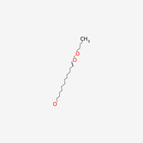 CCCCCOCOC=CCCCCCCCCCCCC=O